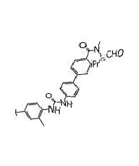 Cc1cc(I)ccc1NC(=O)Nc1ccc(-c2ccc(C(=O)N(C)[C@H](C=O)C(C)C)cc2)cc1